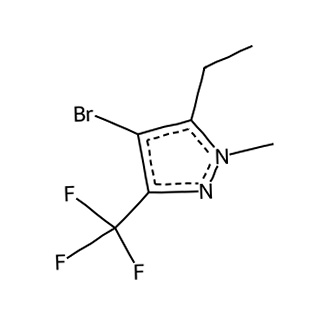 CCc1c(Br)c(C(F)(F)F)nn1C